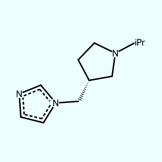 CC(C)N1CC[C@@H](Cn2ccnc2)C1